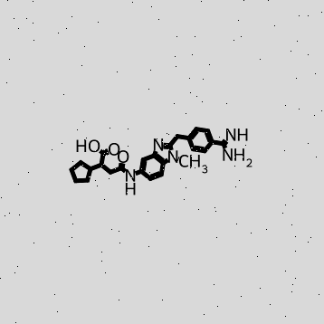 Cn1c(Cc2ccc(C(=N)N)cc2)nc2cc(NC(=O)CC(C(=O)O)C3CCCC3)ccc21